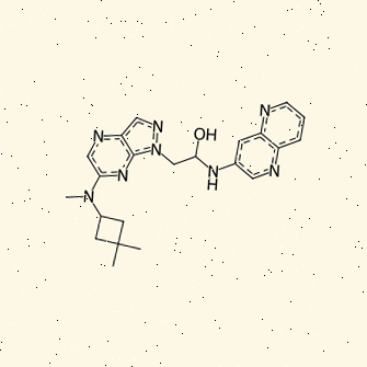 CN(c1cnc2cnn(CC(O)Nc3cnc4cccnc4c3)c2n1)C1CC(C)(C)C1